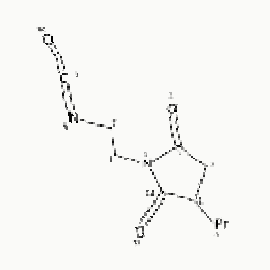 CC(C)C1CC(=O)N(CCN=C=O)C1=O